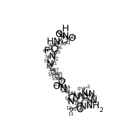 CC(C)n1nc(-c2noc(C3CC3)c2-c2ncc(C3CN(C(=O)OC4CC5(CC(CN6CCN(c7ccc(NC8CCC(=O)NC8=O)cc7F)CC6)C5)C4)C3)cn2)c2c(N)ncnc21